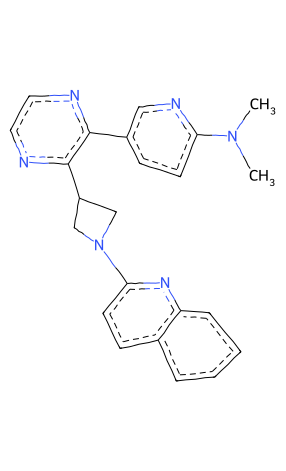 CN(C)c1ccc(-c2nccnc2C2CN(c3ccc4ccccc4n3)C2)cn1